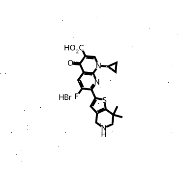 Br.CC1(C)CNCc2cc(-c3nc4c(cc3F)c(=O)c(C(=O)O)cn4C3CC3)sc21